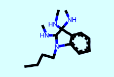 CCCCN1c2ccccc2C(NC)(NC)C1NC